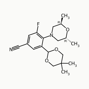 C[C@@H]1CN(c2c(F)cc(C#N)cc2C2OCC(C)(C)CO2)C[C@@H](C)O1